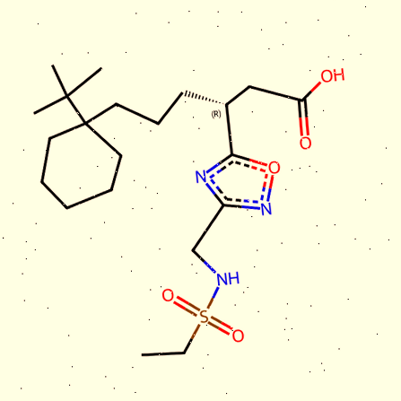 CCS(=O)(=O)NCc1noc([C@H](CCCC2(C(C)(C)C)CCCCC2)CC(=O)O)n1